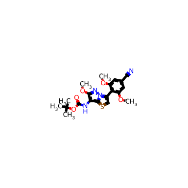 COc1cc(C#N)cc(OC)c1-c1csc2c(NC(=O)OC(C)(C)C)c(OC)nn12